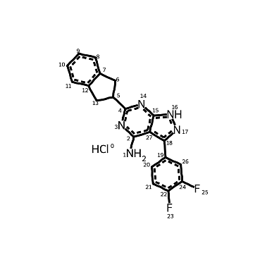 Cl.Nc1nc(C2Cc3ccccc3C2)nc2[nH]nc(-c3ccc(F)c(F)c3)c12